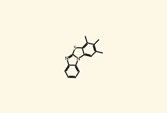 Cc1cc2c(sc3nc4ccccc4n32)c(C)c1C